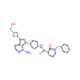 Nc1ncnc2c1c(-c1ccc(NC(=O)c3cccn(Cc4ccccc4)c3=O)cc1)cn2C1CC(CO)C1